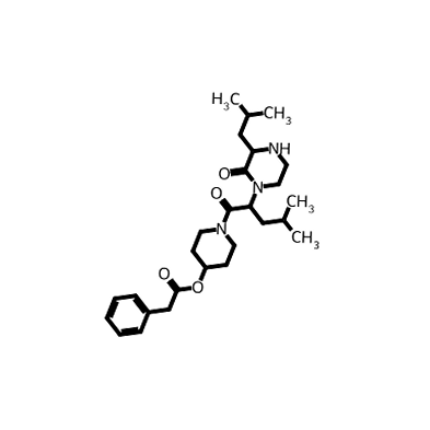 CC(C)CC1NCCN(C(CC(C)C)C(=O)N2CCC(OC(=O)Cc3ccccc3)CC2)C1=O